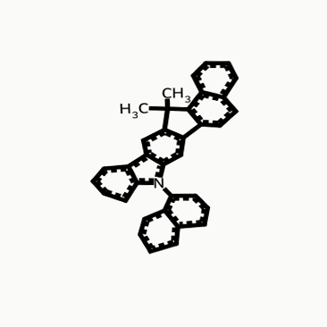 CC1(C)c2cc3c4ccccc4n(-c4cccc5ccccc45)c3cc2-c2ccc3ccccc3c21